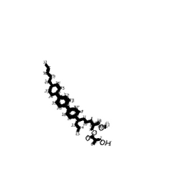 C=C(CO)C(=O)OCC(CCCC(CCC)c1ccc(-c2ccc(C3CCC(CC/C=C/C)CC3)cc2)cc1)COC